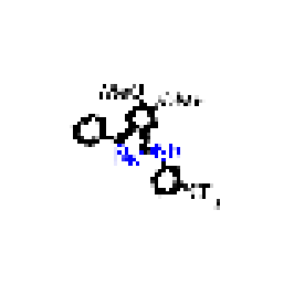 COc1cc2c(Nc3cccc(C(F)(F)F)c3)nnc(-c3ccccc3)c2cc1OC